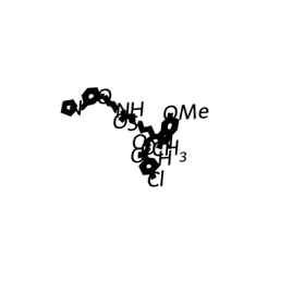 COc1ccc2[nH]c(C)c(C(CCCSCC(=O)NCCCOc3cccc(CN4CCCC4)c3)C(=O)OC(=O)c3ccc(Cl)cc3)c2c1